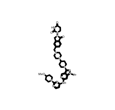 COC1CCN(c2nccc(Nc3cc4c(cn3)c(N3CCC(N5CCN(Cc6ccc7c(c6)CN(N6CCC(=O)NC6=O)C7=O)CC5)CC3)nn4C(C)C)n2)CC1